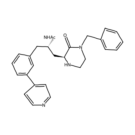 CC(=O)N[C@@H](Cc1cccc(-c2ccncc2)c1)C[C@@H]1NCCN(Cc2ccccc2)C1=O